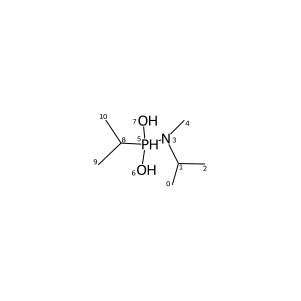 CC(C)N(C)[PH](O)(O)C(C)C